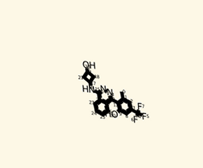 Cc1cc(C(F)(F)F)cc(O)c1-c1nnc(NC2CC(O)C2)c2ccccc12